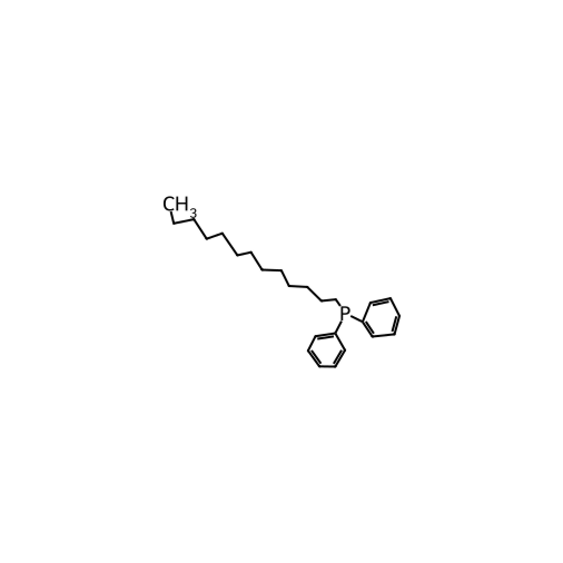 CCCCCCCCCCCCCP(c1ccccc1)c1ccccc1